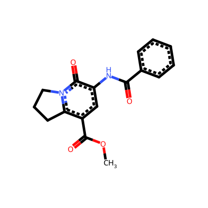 COC(=O)c1cc(NC(=O)c2ccccc2)c(=O)n2c1CCC2